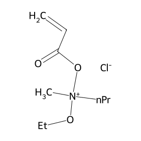 C=CC(=O)O[N+](C)(CCC)OCC.[Cl-]